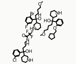 COCCCC[C@@](O)(c1cc(F)ccc1Br)C1CCCNC1.COCCCC[C@@](O)(c1ccccc1OCC1CCCC1)C1CCCNC1.O=C(NCCCC(O)(c1cccc(Cl)c1)C1CCCNC1)C(F)(F)F